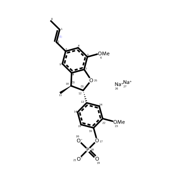 C/C=C/c1cc(OC)c2c(c1)[C@H](C)[C@@H](c1ccc(OP(=O)([O-])[O-])c(OC)c1)O2.[Na+].[Na+]